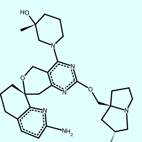 C[C@@]1(O)CCCN(c2nc(OC[C@@]34CCCN3C[C@H](F)C4)nc3c2CO[C@]2(CCCc4ccc(N)nc42)C3)C1